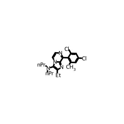 CCCN(CCC)c1c(CC)nc2c(-c3c(C)cc(Cl)cc3Cl)nccn12